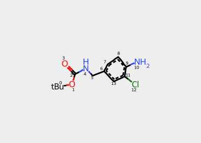 CC(C)(C)OC(=O)NCc1ccc(N)c(Cl)c1